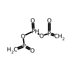 C=P(=O)O[PH](=O)OP(=C)=O